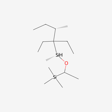 CC[C@H](C)C(CC)(CC)[Si@@H](C)OC(C)[Si](C)(C)C